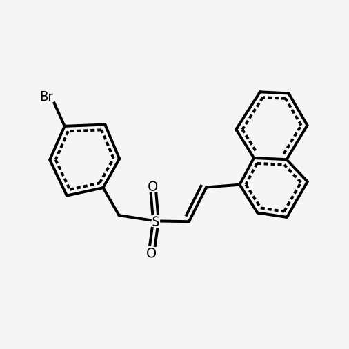 O=S(=O)(C=Cc1cccc2ccccc12)Cc1ccc(Br)cc1